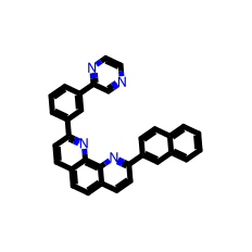 c1cc(-c2cnccn2)cc(-c2ccc3ccc4ccc(-c5ccc6ccccc6c5)nc4c3n2)c1